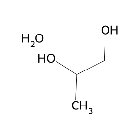 CC(O)CO.O